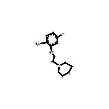 Nc1ccc(Cl)cc1NCCN1CCCCC1